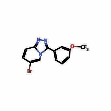 FC(F)(F)Oc1cccc(-c2nnc3ccc(Br)cn23)c1